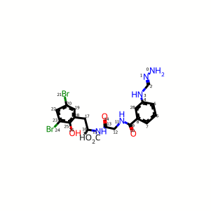 NN=CNc1cccc(C(=O)NCC(=O)NC(Cc2cc(Br)cc(Br)c2O)C(=O)O)c1